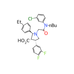 CCCCN(C(=O)CN1C[C@H](c2ccc(F)c(F)c2)[C@H](C(=O)O)[C@H]1c1ccc(CC)cc1)c1cccc(Cl)c1